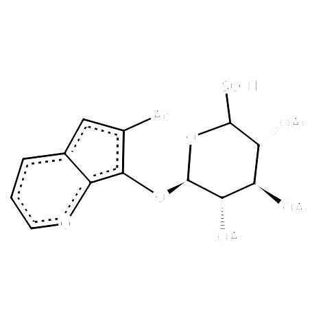 CC(=O)O[C@@H]1[C@@H](Oc2c(C(C)=O)cc3cccoc2-3)OC(S(=O)(=O)O)[C@H](OC(C)=O)[C@H]1OC(C)=O